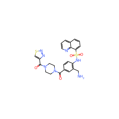 NCc1cc(C(=O)N2CCN(C(=O)c3csnn3)CC2)ccc1NS(=O)(=O)c1cccc2cccnc12